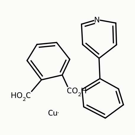 O=C(O)c1ccccc1C(=O)O.[Cu].c1ccc(-c2ccncc2)cc1